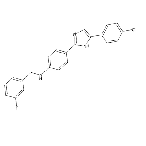 Fc1cccc(CNc2ccc(-c3ncc(-c4ccc(Cl)cc4)[nH]3)cc2)c1